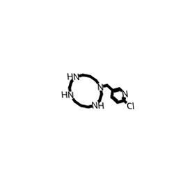 Clc1ccc(CN2CCCNCCNCCCNCC2)cn1